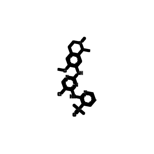 COc1cc2c(cc1Nc1ncc(Cl)c(Nc3nc[c]cc3P(C)(C)=O)n1)C(C)N(C)CC2